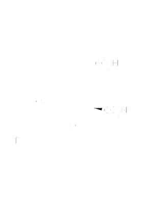 CCC(=O)O[C@@H](CC(=O)O)C(=O)O